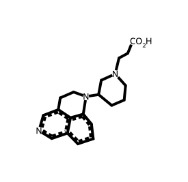 O=C(O)CCN1CCCC(N2CCc3cncc4cccc2c34)C1